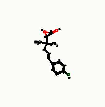 CC(C)(CC=Cc1ccc(Cl)cc1)C1OC1=O